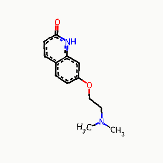 CN(C)CCOc1ccc2ccc(=O)[nH]c2c1